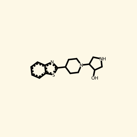 OC1CNCC1N1CCC(c2nc3ccccc3s2)CC1